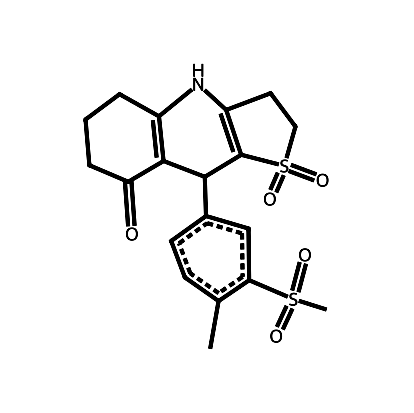 Cc1ccc(C2C3=C(CCCC3=O)NC3=C2S(=O)(=O)CC3)cc1S(C)(=O)=O